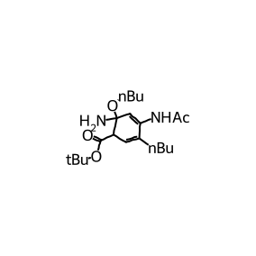 CCCCOC1(N)C=C(NC(C)=O)C(CCCC)=CC1C(=O)OC(C)(C)C